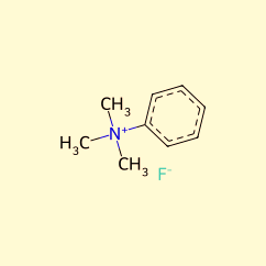 C[N+](C)(C)c1ccccc1.[F-]